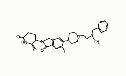 CN(CCN1CCC(c2cc3c(cc2F)C(=O)N(C2CCC(=O)NC2=O)C3)CC1)Cc1ccccc1